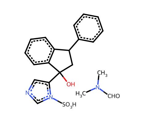 CN(C)C=O.O=S(=O)(O)n1cncc1C1(O)CC(c2ccccc2)c2ccccc21